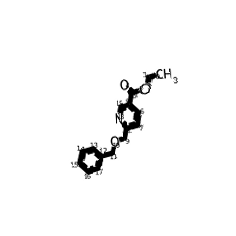 CCOC(=O)c1ccc(COCc2ccccc2)nc1